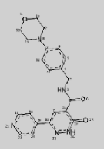 O=C(NCc1ccc(N2CCOCC2)cc1)c1cc(-c2ccncc2)n[nH]c1=O